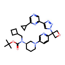 CC(C)(C)OC(=O)N(CC1CCC1)[C@@H]1CCCN(c2ccc(C3(n4cc(-c5cncc(C6CC6)n5)nn4)COC3)nc2)C1